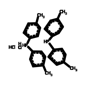 Cc1ccc(Pc2ccc(C)cc2)cc1.Cc1ccc(Pc2ccc(C)cc2)cc1.Cl.Cl